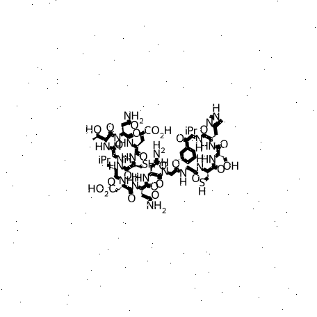 CC(C)C[C@H](NC(=O)[C@H](CS)NC(=O)[C@H](CCC(=O)O)NC(=O)[C@H](CC(N)=O)NC(=O)[C@@H](NC(=O)CN)[C@@H](C)O)C(=O)N[C@@H](CC(=O)O)C(=O)N[C@@H](CC(N)=O)C(=O)N[C@@H](CC(N)=O)C(=O)NCC(=O)NCC(=O)N[C@@H](CS)C(=O)N[C@@H](CO)C(=O)N[C@@H](Cc1c[nH]cn1)C(=O)N[C@H](C(=O)C1CCCCC1)C(C)C